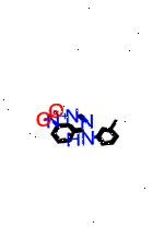 Cc1cccc(Nc2ncnc3c([N+](=O)[O-])cccc23)c1